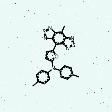 Cc1ccc(N(c2ccc(C)cc2)c2ccc(-c3c4c(c(C)c5nsnc35)N=S=N4)o2)cc1